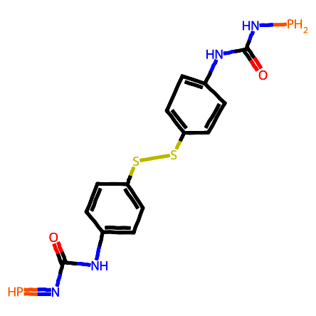 O=C(N=P)Nc1ccc(SSc2ccc(NC(=O)NP)cc2)cc1